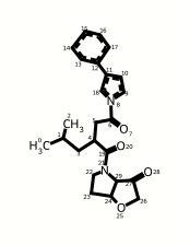 CC(C)CC(CC(=O)n1ccc(-c2ccccc2)c1)C(=O)N1CCC2OCC(=O)C21